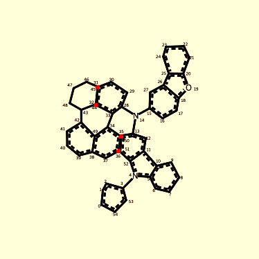 c1ccc(-n2c3ccccc3c3cc(N(c4ccc5oc6ccccc6c5c4)c4ccccc4-c4cccc5cccc(C6CCCCC6)c45)ccc32)cc1